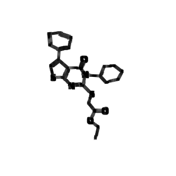 CCOC(=O)CSc1nc2scc(-c3ccccc3)c2c(=O)n1C1CCCCC1